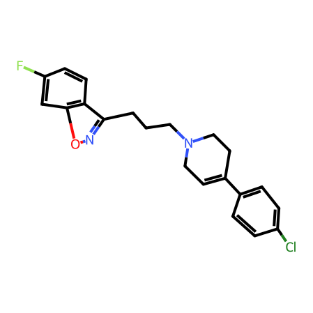 Fc1ccc2c(CCCN3CC=C(c4ccc(Cl)cc4)CC3)noc2c1